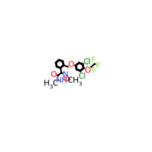 CNC(=O)C(=NOC)c1ccccc1COc1cc(Cl)c(OC(F)(F)C(F)F)c(Cl)c1